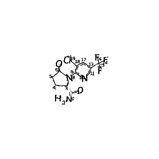 NC(=O)[C@@H]1CCC(=O)N1c1ncc(C(F)(F)F)cc1Cl